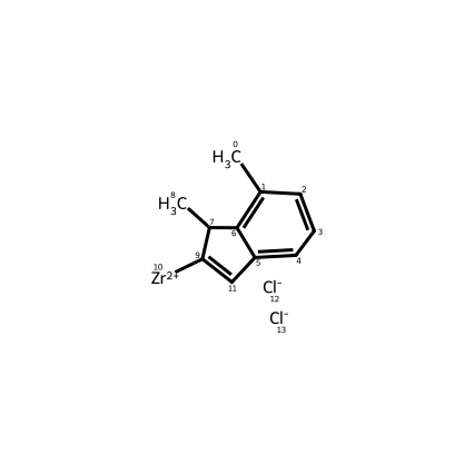 Cc1cccc2c1C(C)[C]([Zr+2])=C2.[Cl-].[Cl-]